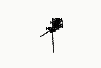 CCCCCCCCCCCCC/C=C/[C@@H](O)[C@H](CO[C@@H]1OC(CO)[C@@H](O[C@@H]2OC(CO)[C@H](O)[C@H](O[C@@H]3OC(CO)[C@@H](O)[C@H](O)C3NC(C)=O)C2O)[C@H](O)C1O)NC(=O)CCCCCCCCCCCCCCCCCCCCCCCCC